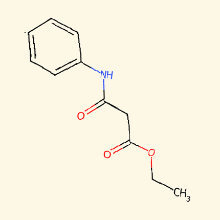 CCOC(=O)CC(=O)Nc1cc[c]cc1